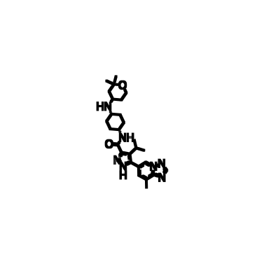 Cc1cc(-c2[nH]nc(C(=O)N[C@H]3CC[C@@H](NC4CCOC(C)(C)C4)CC3)c2C(C)C)cn2ncnc12